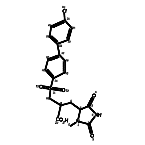 CN1C(=O)NC(=O)C1CC(CS(=O)(=O)c1ccc(-c2ccc(Cl)cc2)cc1)C(=O)O